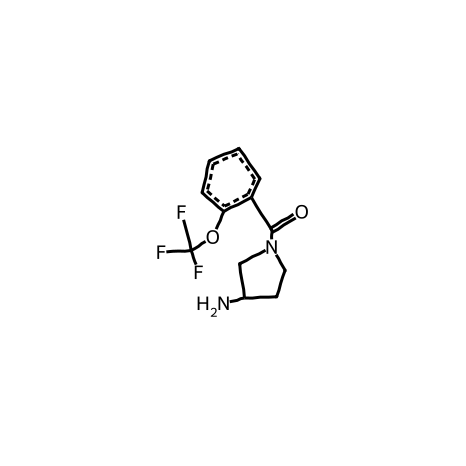 NC1CCN(C(=O)c2ccccc2OC(F)(F)F)C1